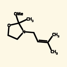 COC1(C)OCCN1CC=C(C)C